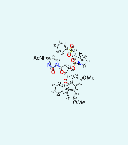 COc1ccc(C(OC[C@@H]2O[C@@H](n3ccc(NC(C)=O)nc3=O)C[C@H]2O[P@]2O[C@H](CS(=O)(=O)c3ccccc3)[C@@H]3CCCN32)(c2ccccc2)c2ccc(OC)cc2)cc1